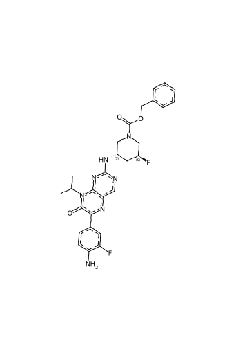 CC(C)n1c(=O)c(-c2ccc(N)c(F)c2)nc2cnc(N[C@H]3C[C@H](F)CN(C(=O)OCc4ccccc4)C3)nc21